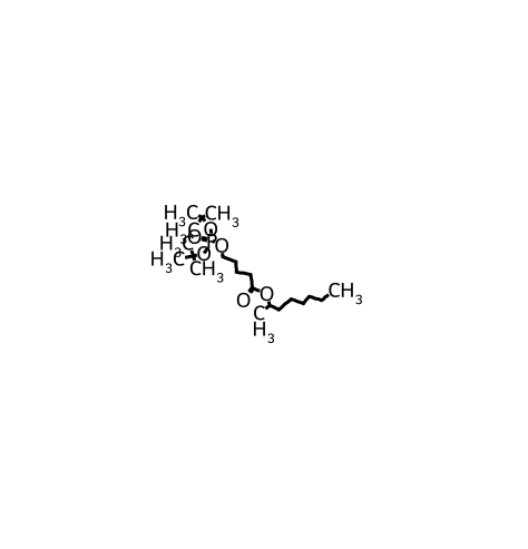 CCCCCCC(C)OC(=O)CCCCOP(=O)(OC(C)(C)C)OC(C)(C)C